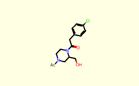 CC(=O)N1CCN(C(=O)Cc2ccc(Cl)cc2)C(CO)C1